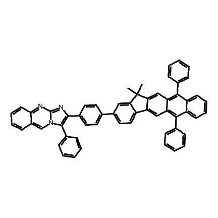 CC1(C)c2cc(-c3ccc(-c4nc5nc6ccccc6cn5c4-c4ccccc4)cc3)ccc2-c2cc3c(-c4ccccc4)c4ccccc4c(-c4ccccc4)c3cc21